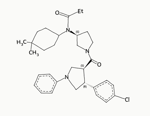 CCC(=O)N(C1CCC(C)(C)CC1)[C@H]1CCN(C(=O)[C@@H]2CN(c3ccccc3)C[C@H]2c2ccc(Cl)cc2)C1